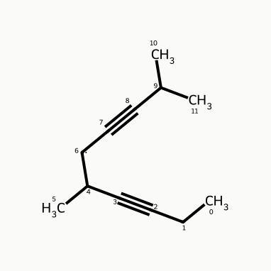 CCC#CC(C)[CH]C#CC(C)C